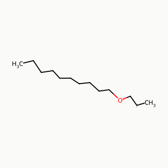 C[CH]COCCCCCCCCCC